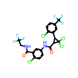 O=C(NCC(F)(F)F)c1cc(NC(=O)C2C(c3cc(C(F)(F)F)ccc3Cl)C2(Cl)Cl)ccc1Cl